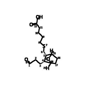 O=CCC[C@@H]1[C@H](CSCCCCC(=O)O)[C@@H]2CC[C@H]1O2